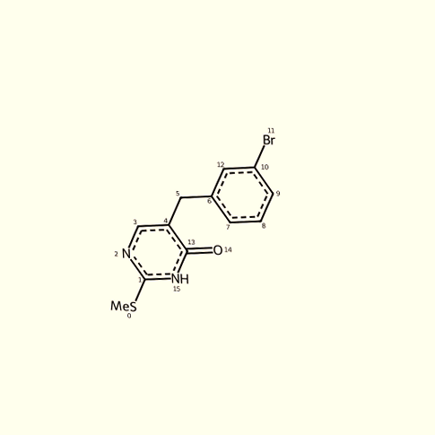 CSc1ncc(Cc2cccc(Br)c2)c(=O)[nH]1